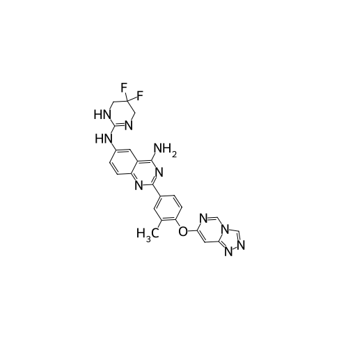 Cc1cc(-c2nc(N)c3cc(NC4=NCC(F)(F)CN4)ccc3n2)ccc1Oc1cc2nncn2cn1